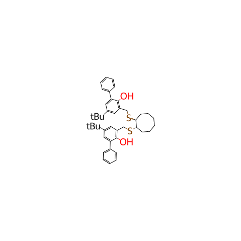 CC(C)(C)c1cc(CS[C@H]2CCCCCC[C@@H]2SCc2cc(C(C)(C)C)cc(-c3ccccc3)c2O)c(O)c(-c2ccccc2)c1